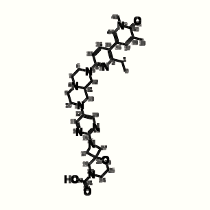 CCc1nc(N2CCN3CCN(c4cnc(N5CC6(CN(C(=O)O)CCO6)C5)nc4)CC3C2)ccc1-c1cc(C)c(=O)n(C)c1